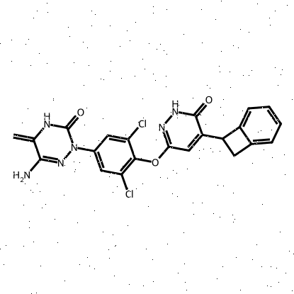 C=C1NC(=O)N(c2cc(Cl)c(Oc3cc(C4Cc5ccccc54)c(=O)[nH]n3)c(Cl)c2)N=C1N